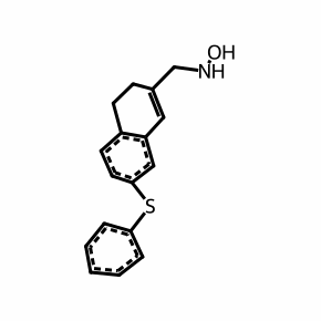 ONCC1=Cc2cc(Sc3ccccc3)ccc2CC1